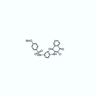 COc1ccc(S(=O)(=O)Nc2ccc(NC3=C(Cl)C(=O)c4ccccc4C3=O)cc2)cc1